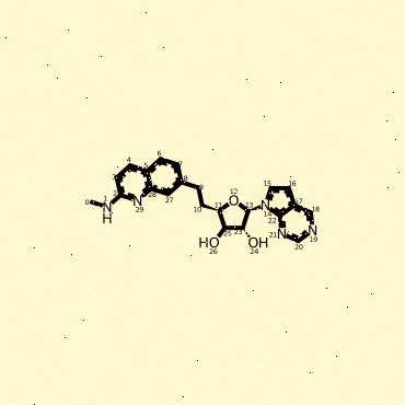 CNc1ccc2ccc(CC[C@H]3O[C@@H](n4ccc5cncnc54)[C@H](O)C3O)cc2n1